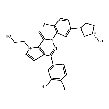 Cc1cc(-c2nn(-c3cc(N4CC[C@H](O)C4)ccc3C(F)(F)F)c(=O)c3c2ccn3CCO)ccc1F